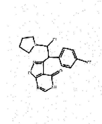 CCC(C(c1ccc(C(F)(F)F)cc1)c1n[nH]c2nc[nH]c(=O)c12)N1CCCC1